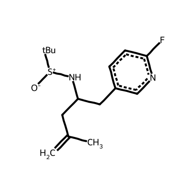 C=C(C)CC(Cc1ccc(F)nc1)N[S+]([O-])C(C)(C)C